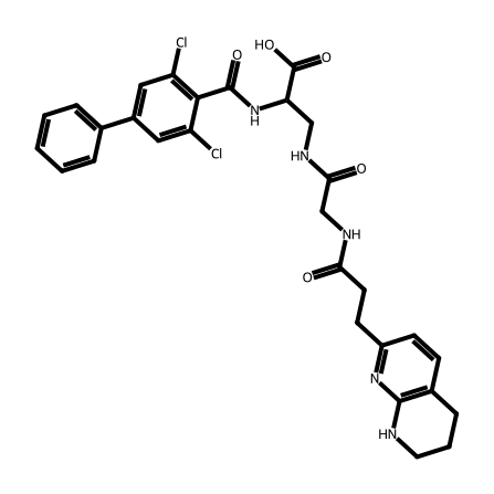 O=C(CCc1ccc2c(n1)NCCC2)NCC(=O)NCC(NC(=O)c1c(Cl)cc(-c2ccccc2)cc1Cl)C(=O)O